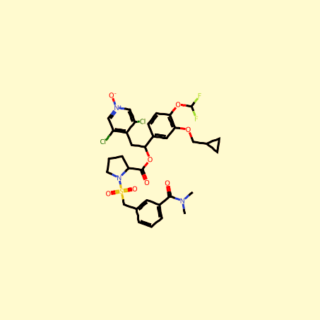 CN(C)C(=O)c1cccc(CS(=O)(=O)N2CCCC2C(=O)OC(Cc2c(Cl)c[n+]([O-])cc2Cl)c2ccc(OC(F)F)c(OCC3CC3)c2)c1